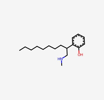 CCCCCCCCC(CNC)c1ccccc1O